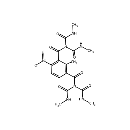 CNC(=O)N(C(=O)NC)C(=O)c1ccc([N+](=O)[O-])c(C(=O)N(C(=O)NC)C(=O)NC)c1C